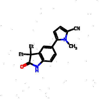 CCC1(CC)C(=O)Nc2ccc(-c3ccc(C#N)n3C)cc21